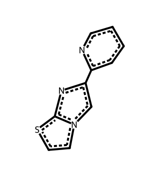 c1ccc(-c2cn3ccsc3n2)nc1